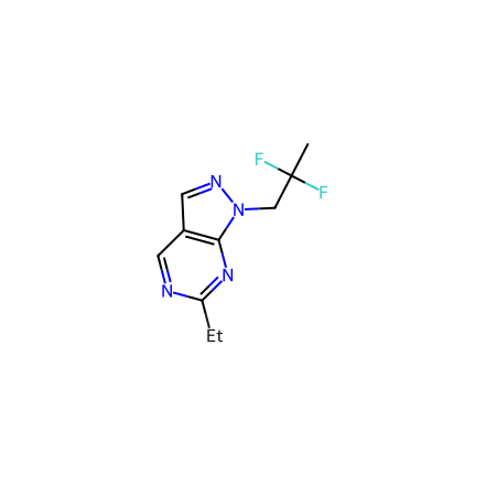 CCc1ncc2cnn(CC(C)(F)F)c2n1